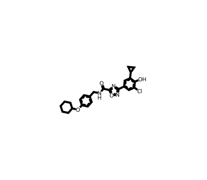 O=C(NCc1ccc(OC2CCCCC2)cc1)c1nc(-c2cc(Cl)c(O)c(C3CC3)c2)no1